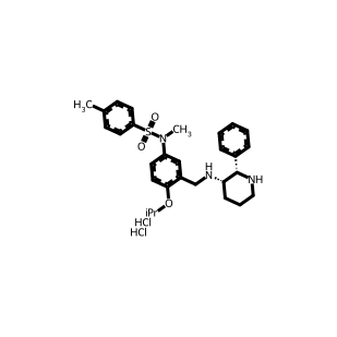 Cc1ccc(S(=O)(=O)N(C)c2ccc(OC(C)C)c(CN[C@H]3CCCN[C@H]3c3ccccc3)c2)cc1.Cl.Cl